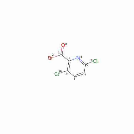 O=C(Br)c1nc(Cl)ccc1Cl